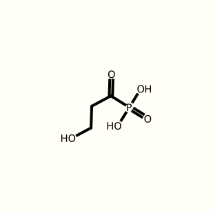 O=C(CCO)P(=O)(O)O